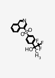 CC(O)(c1ccc(S(=O)(=O)c2cncc3ccccc23)cc1)C(F)(F)F